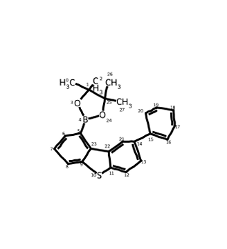 CC1(C)OB(c2cccc3sc4ccc(-c5ccccc5)cc4c23)OC1(C)C